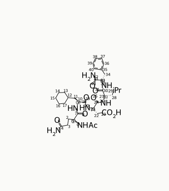 CC(=O)N[C@@H](CCC(N)=O)C(=O)N[C@@H](CC1CCCCC1)C(=O)N[C@@H](CC(=O)O)C(=O)N[C@@H](CC(C)C)C(=O)N[C@@H](Cc1ccccc1)C(N)=O